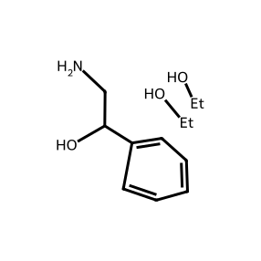 CCO.CCO.NCC(O)c1ccccc1